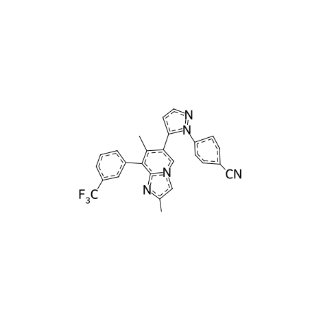 Cc1cn2cc(-c3ccnn3-c3ccc(C#N)cc3)c(C)c(-c3cccc(C(F)(F)F)c3)c2n1